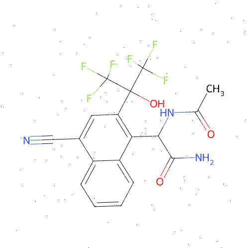 CC(=O)NC(C(N)=O)c1c(C(O)(C(F)(F)F)C(F)(F)F)cc(C#N)c2ccccc12